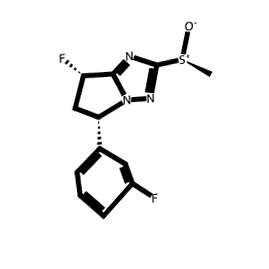 C[S@+]([O-])c1nc2n(n1)[C@H](c1cccc(F)c1)C[C@@H]2F